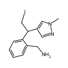 Cn1cc(C(CI)c2ccccc2CN)cn1